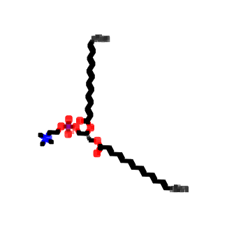 CCCCCCCCCC=CC=CC=CC=CC=CC=CC(=O)OC[C@H](COP(=O)([O-])OCC[N+](C)(C)C)OC(=O)C=CC=CC=CC=CC=CC=CCCCCCCCCC